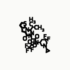 CC(C)c1nn(C(OC(=O)C(F)(F)F)C(=O)NC2CN(C3CC3)CC(F)(F)C2)c(=O)c2cc3ccsc3n12